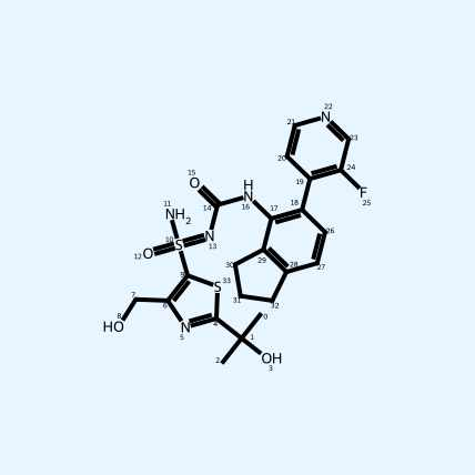 CC(C)(O)c1nc(CO)c(S(N)(=O)=NC(=O)Nc2c(-c3ccncc3F)ccc3c2CCC3)s1